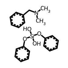 CN(C)Cc1ccccc1.O[Si](O)(Oc1ccccc1)Oc1ccccc1